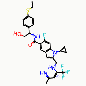 CCSc1ccc(C(CO)NC(=O)c2cc3cc(CN/C(=C\C(C)=N)C(F)(F)F)n(C4CC4)c3cc2F)cc1